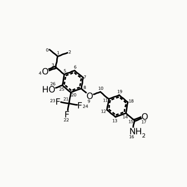 CC(C)C(=O)c1ccc(OCc2ccc(C(N)=O)cc2)c(C(F)(F)F)c1O